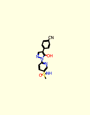 CS(=N)(=O)c1ccc(-n2ncc(-c3ccc(C#N)cc3)c2O)nc1